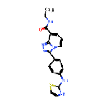 O=C(O)CNC(=O)c1cccn2c(-c3ccc(NC4NC=CS4)cc3)nnc12